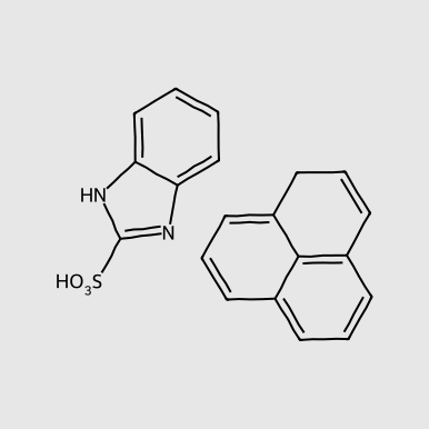 C1=Cc2cccc3cccc(c23)C1.O=S(=O)(O)c1nc2ccccc2[nH]1